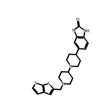 O=C1[N]c2cc(C3CCN(C4CCN(Cc5cc6ccsc6s5)CC4)CC3)ccc2N1